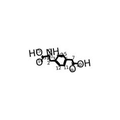 N[C@H](Cc1ccc(CC(=O)O)cc1)C(=O)O